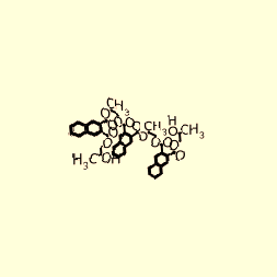 CC(O)COC(=O)c1cc2ccccc2cc1C(=O)OCC(C)OC(=O)c1cc2ccccc2cc1C(=O)OCC(C)OC(=O)c1cc2ccccc2cc1C(=O)OCC(C)O